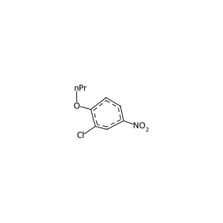 CCCOc1ccc([N+](=O)[O-])cc1Cl